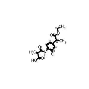 C=C(C(=O)O)C(=O)Nc1ccc(C(C)C(=O)OCC)cc1Cl